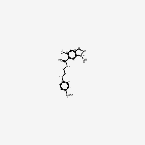 COc1ccc(OCCOC(=O)c2cc3c(cc2Cl)COB3O)cc1